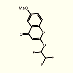 COc1ccc2oc(OC(F)C(F)F)cc(=O)c2c1